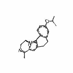 CC1=NCCn2c1cc1c2-c2ccc(OC(C)C)cc2CC1